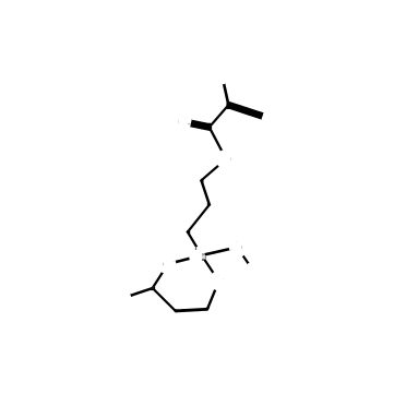 C=C(C)C(=O)OCCC[Si]1(OC)OCCC(C)O1